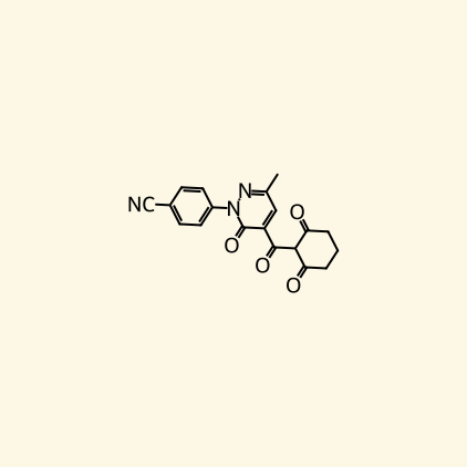 Cc1cc(C(=O)C2C(=O)CCCC2=O)c(=O)n(-c2ccc(C#N)cc2)n1